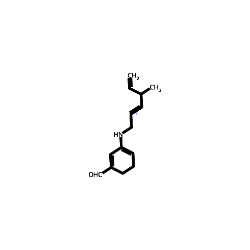 C=CC(C)/C=C/CNC1=CCCC(C=O)=C1